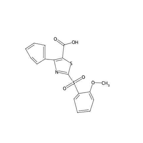 COc1ccccc1S(=O)(=O)c1nc(-c2ccccc2)c(C(=O)O)s1